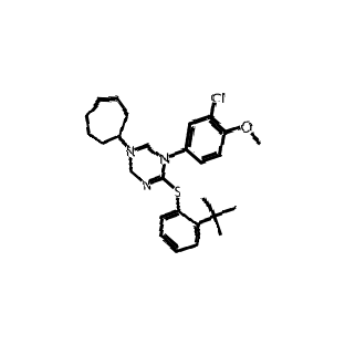 COc1ccc(N2CN(C3CCCCCC3)CN=C2Sc2ccccc2C(C)(C)C)cc1Cl